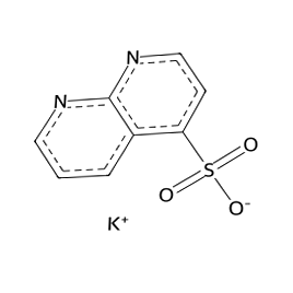 O=S(=O)([O-])c1ccnc2ncccc12.[K+]